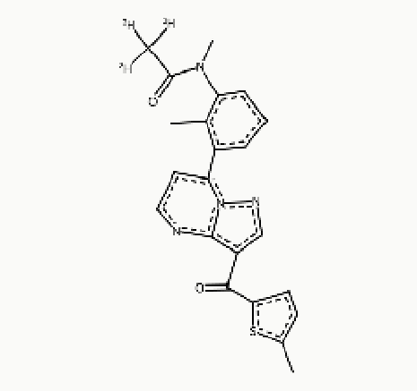 [2H]C([2H])([2H])C(=O)N(C)c1cccc(-c2ccnc3c(C(=O)c4ccc(C)s4)cnn23)c1C